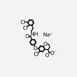 O=C(NCCc1cccc(Cl)c1Cl)c1ccc(Oc2cc3c(cc2Cl)C(C(=O)[O-])CCO3)cc1.[Na+]